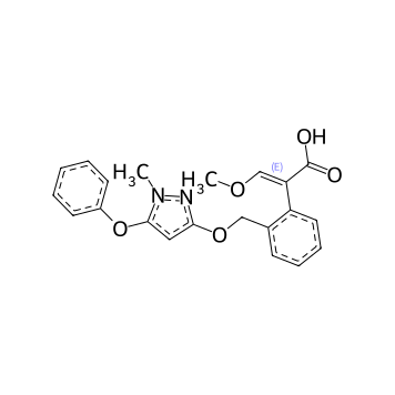 CO/C=C(/C(=O)O)c1ccccc1COc1cc(Oc2ccccc2)n(C)n1